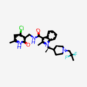 Cc1cc(Cl)c(CNC(=O)c2c(C)n([C@H](C)C3CCN(CC(C)(F)F)CC3)c3ccccc23)c(=O)[nH]1